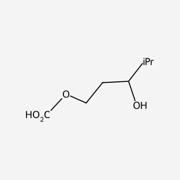 CC(C)C(O)CCOC(=O)O